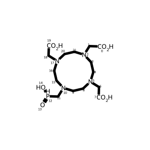 O=C(O)CN1CCN(CC(=O)O)CCN(C[PH](=O)O)CCN(CC(=O)O)CC1